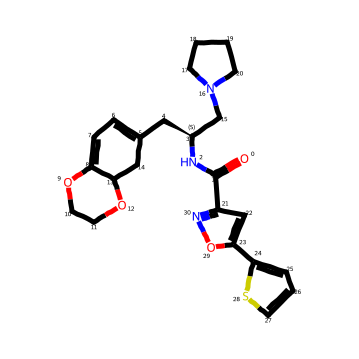 O=C(N[C@@H](CC1=CC=C2OCCOC2C1)CN1CCCC1)c1cc(-c2cccs2)on1